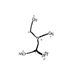 CCCC(O)N(O)CO